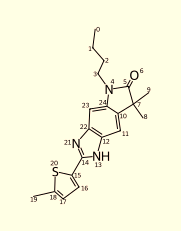 CCCCN1C(=O)C(C)(C)c2cc3[nH]c(-c4ccc(C)s4)nc3cc21